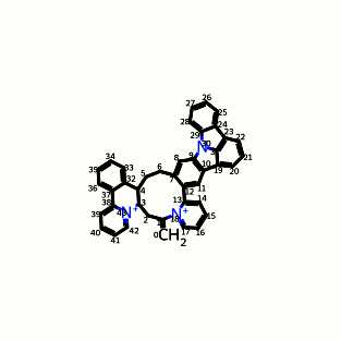 C=C1CC2C(CCc3cc4c(cc3-c3cccc[n+]31)c1cccc3c5ccccc5n4c31)c1ccccc1-c1cccc[n+]12